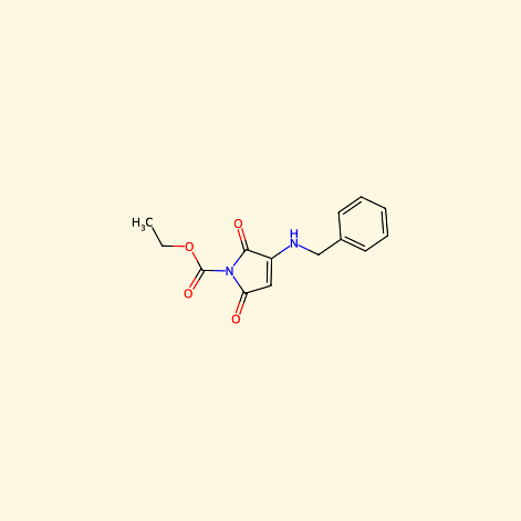 CCOC(=O)N1C(=O)C=C(NCc2ccccc2)C1=O